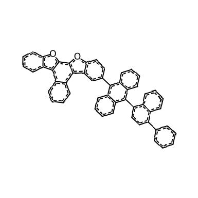 c1ccc(-c2ccc(-c3c4ccccc4c(-c4ccc5oc6c7oc8ccccc8c7c7ccccc7c6c5c4)c4ccccc34)c3ccccc23)cc1